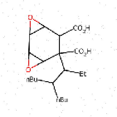 CCCCC(CCCC)C(CC)C1(C(=O)O)C2OC2C2OC2C1C(=O)O